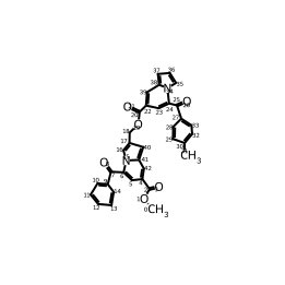 COC(=O)c1cc(C(=O)c2ccccc2)n2cc(COC(=O)c3cc(C(=O)c4ccc(C)cc4)n4cccc4c3)cc2c1